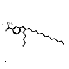 CCCCCCCCCCCCc1cc2cc(C(=O)O)ccc2n1CCCC